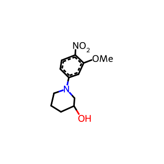 COc1cc(N2CCCC(O)C2)ccc1[N+](=O)[O-]